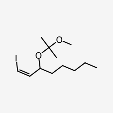 CCCCCC(/C=C\I)OC(C)(C)OC